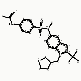 CC(=O)Nc1ccc(S(=O)(=O)N(C)c2ccc3c(c2)nc(C(C)(C)C)n3CC2CCOC2)cc1